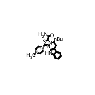 CCCCC(Cc1c[nH]c2ccccc12)N1N=C(N2CCN(C)CC2)SC1C(N)=O